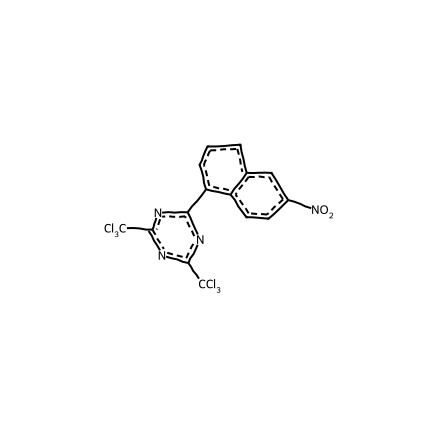 O=[N+]([O-])c1ccc2c(-c3nc(C(Cl)(Cl)Cl)nc(C(Cl)(Cl)Cl)n3)cccc2c1